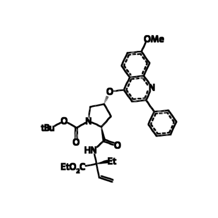 C=C[C@@](CC)(NC(=O)[C@@H]1C[C@@H](Oc2cc(-c3ccccc3)nc3cc(OC)ccc23)CN1C(=O)OC(C)(C)C)C(=O)OCC